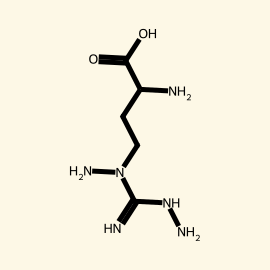 N=C(NN)N(N)CCC(N)C(=O)O